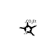 CCOC(=O)c1c(C)sc(C)c1C